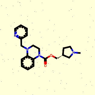 CN1CC[C@@H](COC(=O)N2CCN(Cc3ccccn3)c3ccccc32)C1